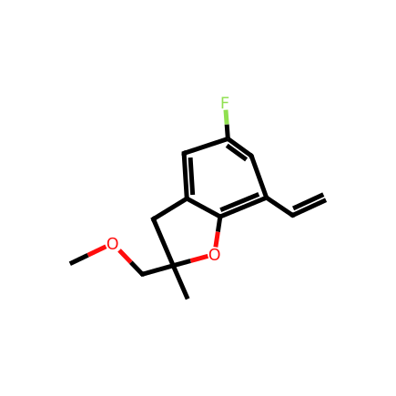 C=Cc1cc(F)cc2c1OC(C)(COC)C2